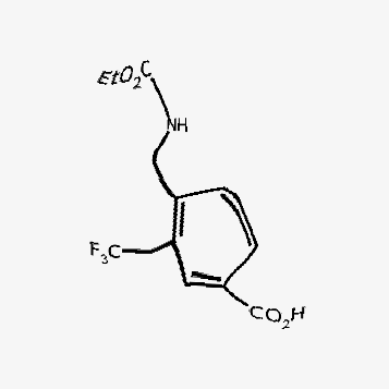 CCOC(=O)NCc1ccc(C(=O)O)cc1C(F)(F)F